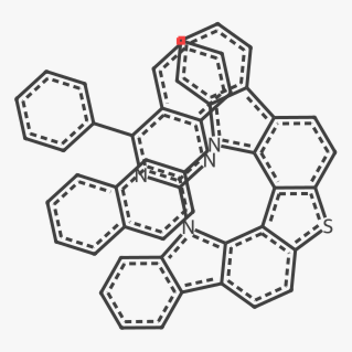 c1ccc(-c2nc(-n3c4ccccc4c4ccc5sc6ccc7c8ccccc8n(-c8ccc9ccccc9c8)c7c6c5c43)nc3ccccc23)cc1